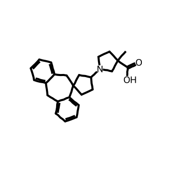 CC1(C(=O)O)CCN(C2CCC3(Cc4ccccc4Cc4ccccc43)C2)C1